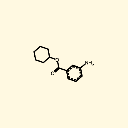 Nc1cccc(C(=O)OC2CCCCC2)c1